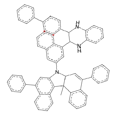 CC12c3ccccc3C(c3ccccc3)=CC1N(c1cc(C3Nc4ccccc4NC3c3ccc(-c4ccccc4)cc3)c3ccccc3c1)c1cc(-c3ccccc3)c3ccccc3c12